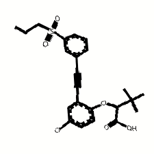 CCCS(=O)(=O)c1cccc(C#Cc2cc(Cl)ccc2OC(C(=O)O)C(C)(C)C)c1